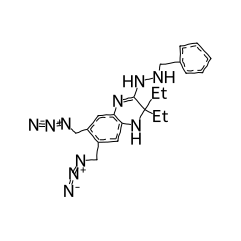 CCC1(CC)Nc2cc(CN=[N+]=[N-])c(CN=[N+]=[N-])cc2N=C1NNCc1ccccc1